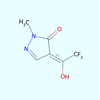 CN1N=C/C(=C(\O)C(F)(F)F)C1=O